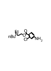 CCCCN(CC)CCOC(=O)c1ccc(N)cc1Cl